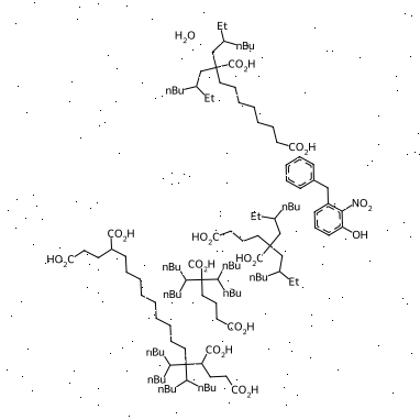 CCCCC(CC)CC(CCCC(=O)O)(CC(CC)CCCC)C(=O)O.CCCCC(CC)CC(CCCCCCCC(=O)O)(CC(CC)CCCC)C(=O)O.CCCCC(CCCC)C(CCCC(=O)O)(C(=O)O)C(CCCC)CCCC.CCCCC(CCCC)C(CCCCCCCCCC(CCC(=O)O)C(=O)O)(C(CCCC)CCCC)C(CCC(=O)O)C(=O)O.O.O=[N+]([O-])c1c(O)cccc1Cc1ccccc1